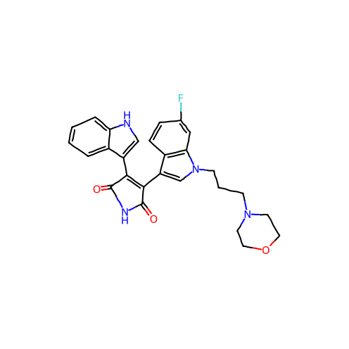 O=C1NC(=O)C(c2cn(CCCN3CCOCC3)c3cc(F)ccc23)=C1c1c[nH]c2ccccc12